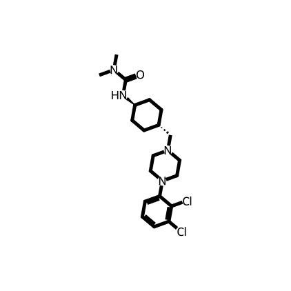 CN(C)C(=O)N[C@H]1CC[C@H](CN2CCN(c3cccc(Cl)c3Cl)CC2)CC1